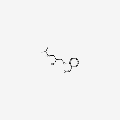 CC(C)NCC(O)COc1ccccc1C=O